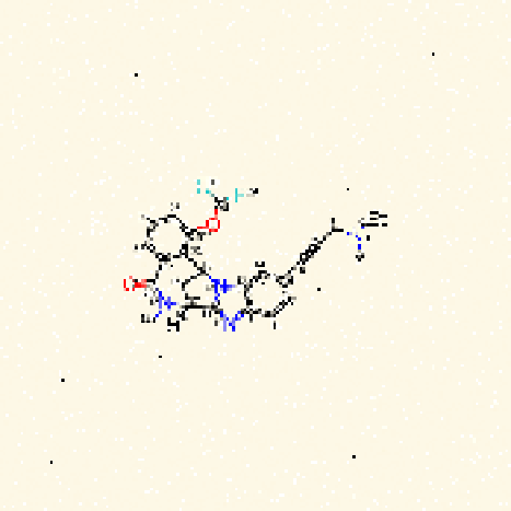 CCN(C)CC#Cc1ccc2nc3n(c2c1)C1C[C@H]3N(C)C(=O)c2cccc(OC(F)F)c21